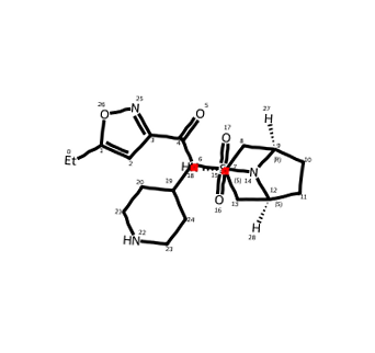 CCc1cc(C(=O)N[C@@H]2C[C@H]3CC[C@@H](C2)N3S(=O)(=O)CC2CCNCC2)no1